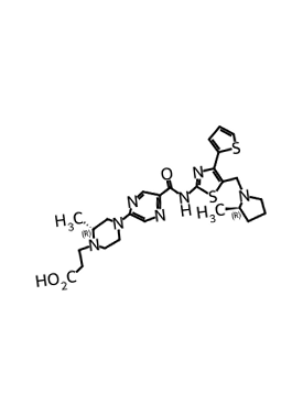 C[C@@H]1CN(c2cnc(C(=O)Nc3nc(-c4cccs4)c(CN4CCC[C@H]4C)s3)cn2)CCN1CCC(=O)O